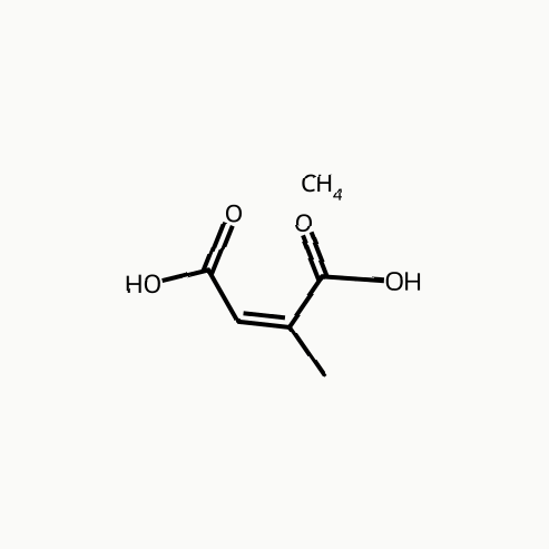 C.C/C(=C/C(=O)O)C(=O)O